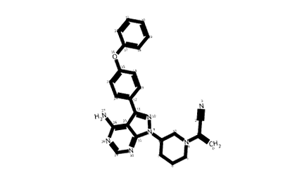 C=C(C#N)N1CCCC(n2nc(-c3ccc(Oc4ccccc4)cc3)c3c(N)ncnc32)C1